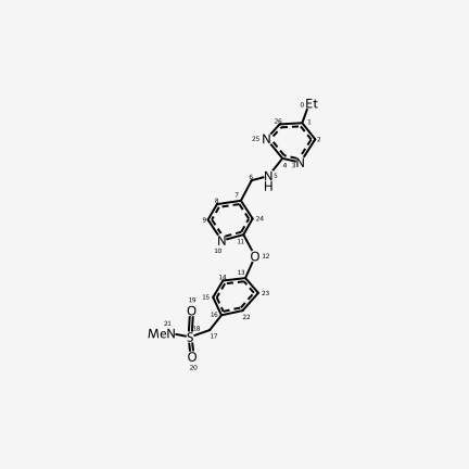 CCc1cnc(NCc2ccnc(Oc3ccc(CS(=O)(=O)NC)cc3)c2)nc1